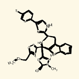 COCc1nc(C2(c3nn(C)c(=O)o3)NC(c3nc(-c4ccc(F)cn4)c[nH]3)Cc3c2[nH]c2ccccc32)no1